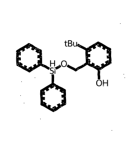 CC(C)(C)c1cccc(O)c1CO[SiH](c1ccccc1)c1ccccc1